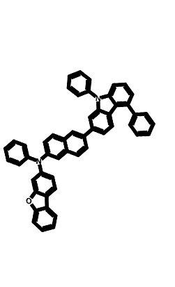 c1ccc(-c2cccc3c2c2ccc(-c4ccc5cc(N(c6ccccc6)c6ccc7c(c6)oc6ccccc67)ccc5c4)cc2n3-c2ccccc2)cc1